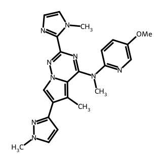 COc1ccc(N(C)c2nc(-c3nccn3C)nn3cc(-c4ccn(C)n4)c(C)c23)nc1